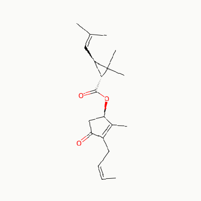 C/C=C\CC1=C(C)[C@H](OC(=O)[C@@H]2[C@@H](C=C(C)C)C2(C)C)CC1=O